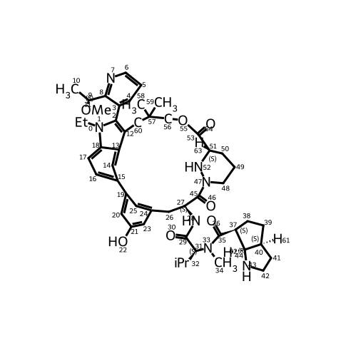 CCn1c(-c2cccnc2[C@H](C)OC)c2c3cc(ccc31)-c1cc(O)cc(c1)C[C@H](NC(=O)[C@H](C(C)C)N(C)C(=O)[C@H]1CC[C@H]3CCN[C@H]31)C(=O)N1CCC[C@H](N1)C(=O)OCC(C)(C)C2